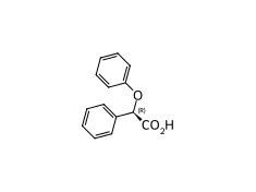 O=C(O)[C@H](Oc1ccccc1)c1ccccc1